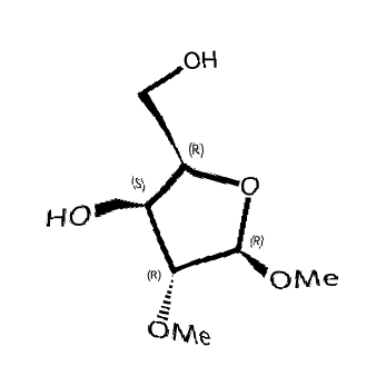 CO[C@@H]1O[C@H](CO)[C@H](O)[C@H]1OC